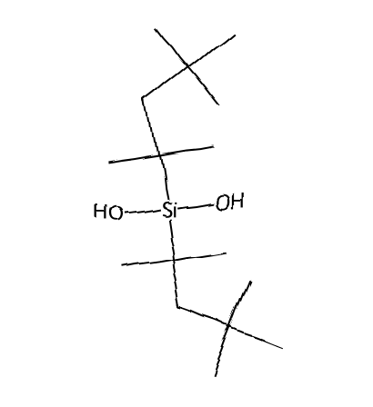 CC(C)(C)CC(C)(C)[Si](O)(O)C(C)(C)CC(C)(C)C